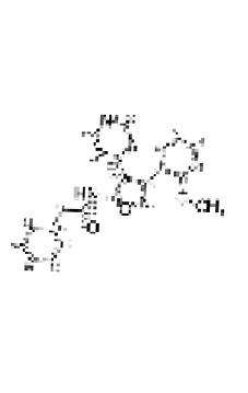 COc1ccccc1-c1noc(NC(=O)Cc2ccccc2)c1-c1ccncn1